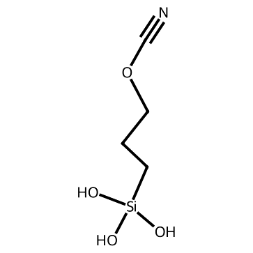 N#COCCC[Si](O)(O)O